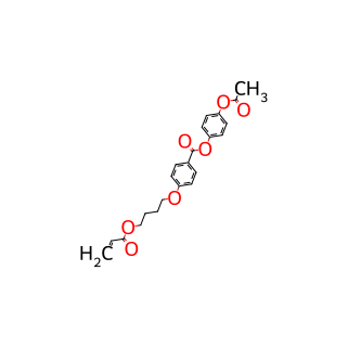 C=CC(=O)OCCCCOc1ccc(C(=O)Oc2ccc(OC(C)=O)cc2)cc1